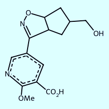 COc1ncc(C2=NOC3CC(CO)CC23)cc1C(=O)O